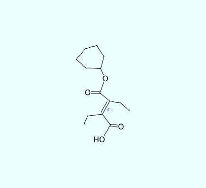 CC/C(C(=O)O)=C(/CC)C(=O)OC1CCCCC1